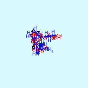 CC(C)C[C@H](NC(=O)[C@H](C)NC(=O)CNC(=O)[C@H](CC(C)C)NC(=O)[C@H](Cc1ccc(O)cc1)NC(=O)[C@H](Cc1c[nH]cn1)NC(=O)[C@H](C)NC(=O)[C@H](Cc1c[nH]cn1)NC(=O)[C@@H](N)CC(N)=O)C(=O)N[C@@H](CC(C)C)C(=O)N[C@@H](CO)C(=O)N[C@H](C(=O)NCC(=O)NCC(=O)NCC(=O)N[C@@H](CO)C(=O)O)[C@@H](C)O